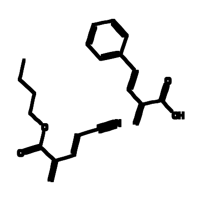 C=C(C=CC#N)C(=O)OCCCC.C=C(C=Cc1ccccc1)C(=O)O